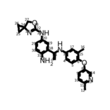 C=C(Nc1ccc(Oc2ccc(C)nc2)c(C)c1)c1cc(NC2=NC3(CC3)CO2)ccc1N